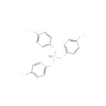 N#Cc1ccc(OP(=O)(Oc2ccc(C#N)cc2)Sc2ccc(C#N)cc2)cc1